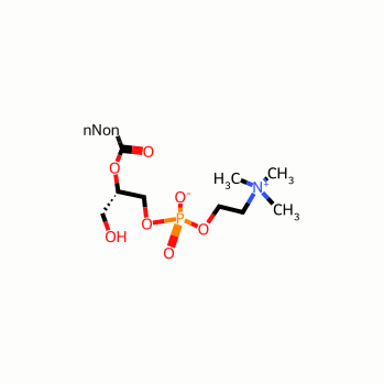 CCCCCCCCCC(=O)O[C@@H](CO)COP(=O)([O-])OCC[N+](C)(C)C